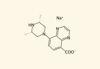 C[C@@H]1CN(c2ccc(C(=O)[O-])c3nccnc23)C[C@H](C)N1.[Na+]